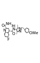 COc1ccc(Cn2nc(C)c(NC(=O)c3cc(C(N)=O)nc4ccc(F)cc34)c2C)cc1